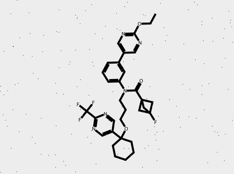 CCOc1ncc(-c2cccc(N(CCCOC3(c4cnc(C(F)(F)F)nc4)CCCCC3)C(=O)C34CC(F)(C3)C4)c2)cn1